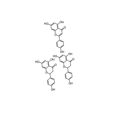 O=C1CC(c2ccc(O)cc2)Oc2cc(O)cc(O)c21.O=C1CC(c2ccc(O)cc2)Oc2cc(O)cc(O)c21.O=c1cc(-c2ccc(O)cc2)oc2cc(O)cc(O)c12